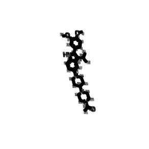 COc1ccc(-c2[nH]c3ccc(N4CCC(N5CCN(C(C)=O)CC5)CC4)cc3c2C(C)C)cc1OC